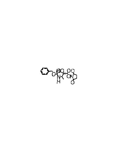 CC(NC(=O)OCc1ccccc1)[C@H](O)C(=O)ON1C(=O)CCC1=O